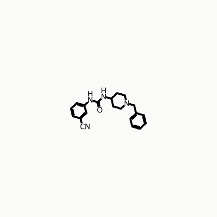 N#Cc1cccc(NC(=O)NC2CCN(Cc3ccccc3)CC2)c1